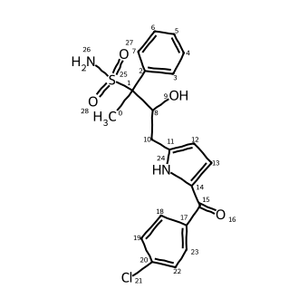 CC(c1ccccc1)(C(O)Cc1ccc(C(=O)c2ccc(Cl)cc2)[nH]1)S(N)(=O)=O